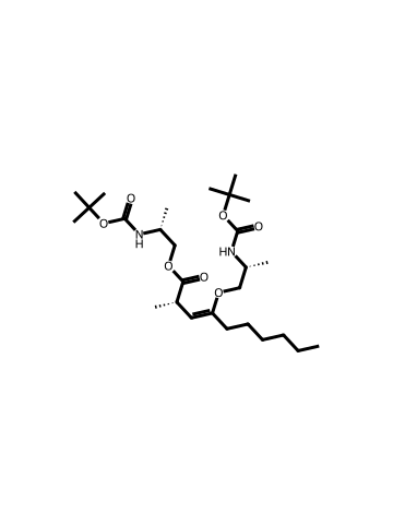 CCCCCCC(=C[C@H](C)C(=O)OC[C@@H](C)NC(=O)OC(C)(C)C)OC[C@@H](C)NC(=O)OC(C)(C)C